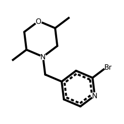 CC1CN(Cc2ccnc(Br)c2)C(C)CO1